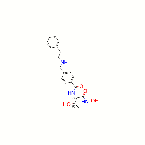 C[C@@H](O)[C@H](NC(=O)c1ccc(CNCCc2ccccc2)cc1)C(=O)NO